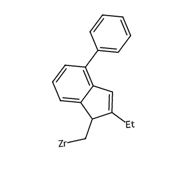 CCC1=Cc2c(-c3ccccc3)cccc2C1[CH2][Zr]